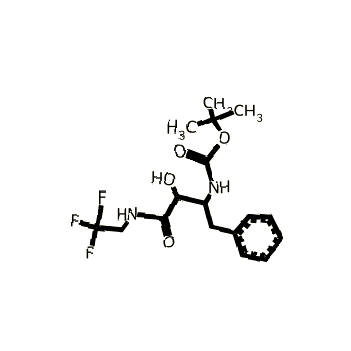 CC(C)(C)OC(=O)NC(Cc1ccccc1)C(O)C(=O)NCC(F)(F)F